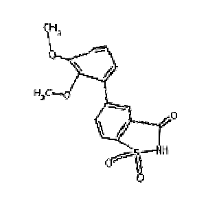 COc1cccc(-c2ccc3c(c2)C(=O)NS3(=O)=O)c1OC